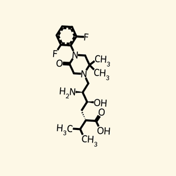 CC(C)[C@H](C[C@H](O)[C@@H](N)CN1CC(=O)N(c2c(F)cccc2F)CC1(C)C)C(=O)O